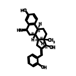 C[C@]12CC[C@@H]3c4ccc(O)cc4C(=N)C[C@H]3[C@@H]1CC(=Cc1ccccc1O)[C@@H]2O